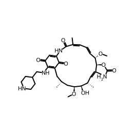 CO[C@H]1/C=C/C=C(/C)C(=O)NC2=CC(=O)C(NCC3CCNCC3)=C(C[C@@H](C)C[C@H](OC)[C@H](O)[C@@H](C)/C=C(\C)[C@@H]1OC(N)=O)C2=O